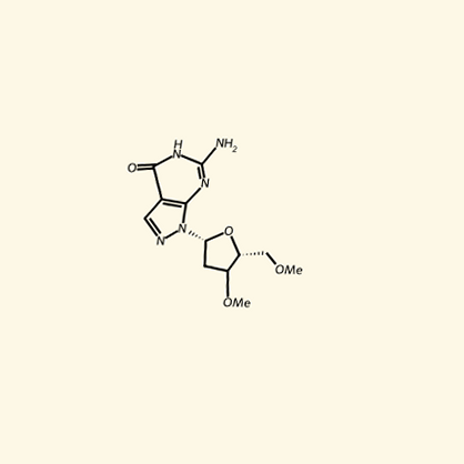 COC[C@H]1O[C@@H](n2ncc3c(=O)[nH]c(N)nc32)CC1OC